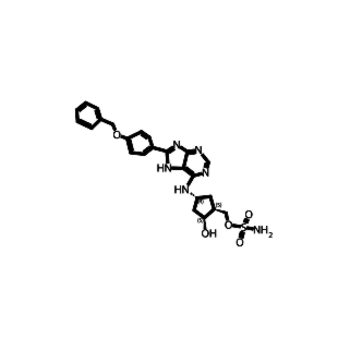 NS(=O)(=O)OC[C@@H]1C[C@@H](Nc2ncnc3nc(-c4ccc(OCc5ccccc5)cc4)[nH]c23)C[C@@H]1O